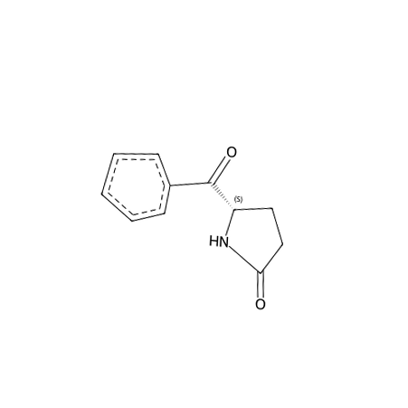 O=C1CC[C@@H](C(=O)c2ccccc2)N1